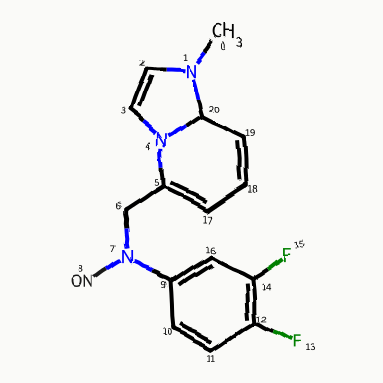 CN1C=CN2C(CN(N=O)c3ccc(F)c(F)c3)=CC=CC12